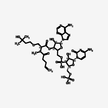 C=CCCC(=O)N(C)[C@@H](COCCC(C)(C)O)C(=O)O[C@@H]1C(COP(=O)(O)[C@H]2[C@@H](O)[C@H](n3ccc(N)nc3=O)O[C@@H]2COP(=O)(O)O)O[C@@H](n2cnc3c(N)ncnc32)[C@@H]1O